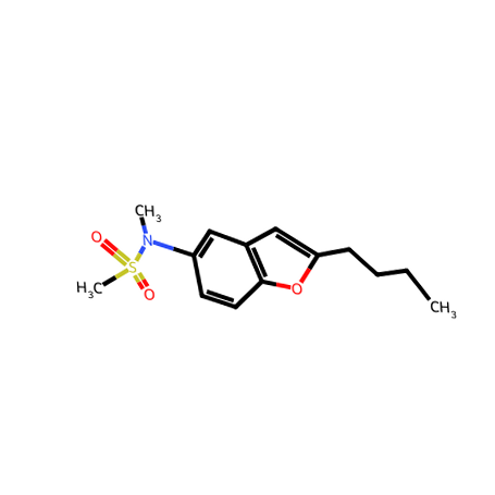 CCCCc1cc2cc(N(C)S(C)(=O)=O)ccc2o1